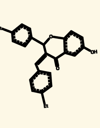 CCc1ccc(C=C2C(=O)c3cc(O)ccc3OC2c2ccc(CC)cc2)cc1